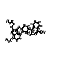 CCCc1nc2c(C)ccnc2n1Cc1ccc(C(C)c2ccccc2C(=O)O)cc1